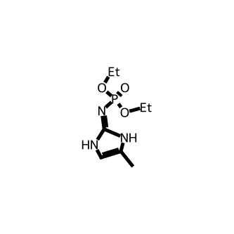 CCOP(=O)(/N=c1/[nH]cc(C)[nH]1)OCC